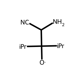 CC(C)C([O])(C(C)C)C(N)C#N